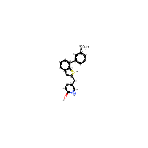 O=C(O)c1cccc(-c2cccc3cc(Cc4ccc(=O)[nH]c4)sc23)c1